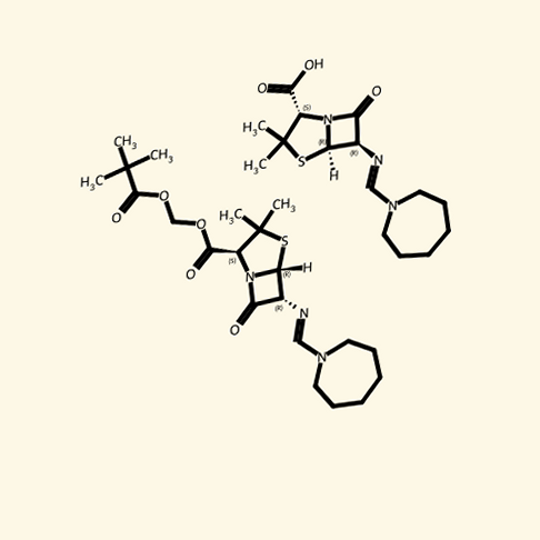 CC(C)(C)C(=O)OCOC(=O)[C@@H]1N2C(=O)[C@@H](N=CN3CCCCCC3)[C@H]2SC1(C)C.CC1(C)S[C@@H]2[C@H](N=CN3CCCCCC3)C(=O)N2[C@H]1C(=O)O